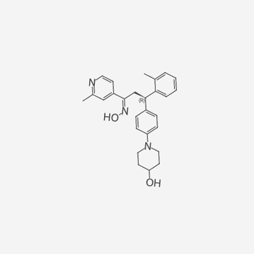 Cc1cc(C(C[C@H](c2ccc(N3CCC(O)CC3)cc2)c2ccccc2C)=NO)ccn1